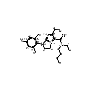 CCCCN(CC)C(=O)c1c(CC)nc2n1CCN2c1c(C)cc(C)cc1C